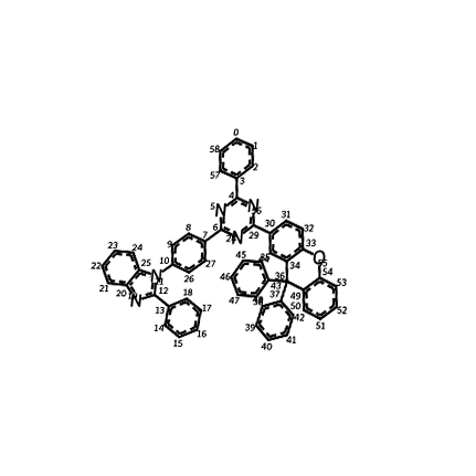 c1ccc(-c2nc(-c3ccc(-n4c(-c5ccccc5)nc5ccccc54)cc3)nc(-c3ccc4c(c3)C(c3ccccc3)(c3ccccc3)c3ccccc3O4)n2)cc1